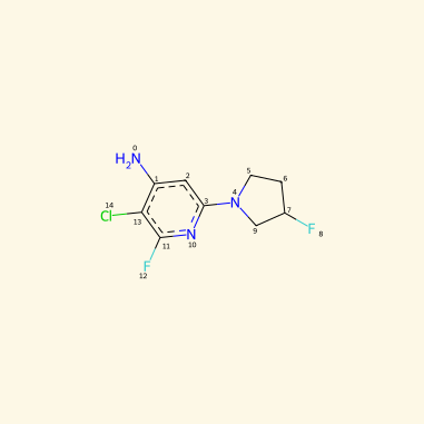 Nc1cc(N2CCC(F)C2)nc(F)c1Cl